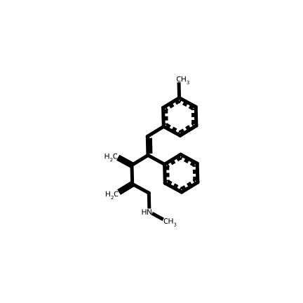 C=C(CNC)C(=C)/C(=C/c1cccc(C)c1)c1ccccc1